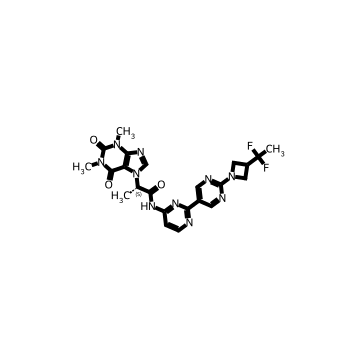 C[C@@H](C(=O)Nc1ccnc(-c2cnc(N3CC(C(C)(F)F)C3)nc2)n1)n1cnc2c1c(=O)n(C)c(=O)n2C